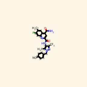 Cc1cc2c(C(N)=O)cc(C(=O)Nc3c(C(F)(F)F)nn(Cc4ccc(C#N)cc4)c3C)nc2cc1F